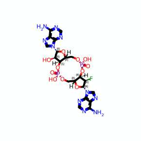 Nc1ncnc2c1ncn2[C@@H]1O[C@@H]2COP(=O)(O)O[C@H]3[C@@H](F)[C@H](n4cnc5c(N)ncnc54)O[C@@H]3COP(=O)(O)O[C@H]2[C@H]1O